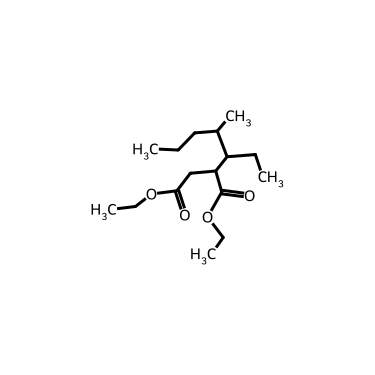 CCCC(C)C(CC)C(CC(=O)OCC)C(=O)OCC